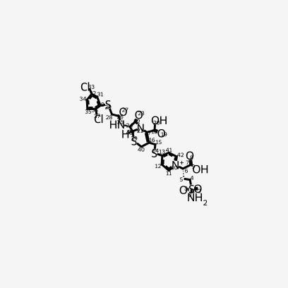 NS(=O)(=O)CC[C@@H](C(=O)O)[n+]1ccc(SCC2=C(C(=O)O)N3C(=O)[C@H](NC(=O)CSc4cc(Cl)ccc4Cl)[C@H]3SC2)cc1